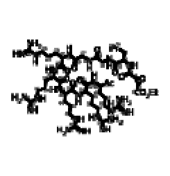 CCOC(=O)C1OC1C(=O)NC(CC(C)C)C(=O)NCC(=O)NCC(=O)NC(CCCNC(=N)N)C(=O)NC(CCCNC(=N)N)C(=O)NC(CCCNC(=N)N)C(=O)NC(CCCNC(=N)N)C(=O)NC(CCCNC(=N)N)C(C)=O